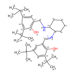 CC(C)(C)c1cc(/C=N/C2CCCCC2NCc2cc(C(C)(C)C)cc(C(C)(C)C)c2O)c(O)c(C(C)(C)C)c1